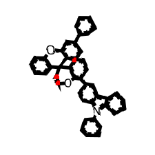 c1ccc(-c2ccc3c(c2)Oc2ccccc2C32c3ccccc3Oc3c(-c4ccc5c(c4)c4ccccc4n5-c4ccccc4)cccc32)cc1